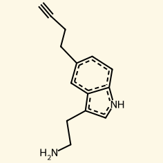 C#CCCc1ccc2[nH]cc(CCN)c2c1